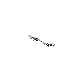 Cc1cc(OCCCCCCCc2ccc(C(=O)NCCC(=O)O)cc2)ccc1-c1ccc(C(F)(F)F)cc1